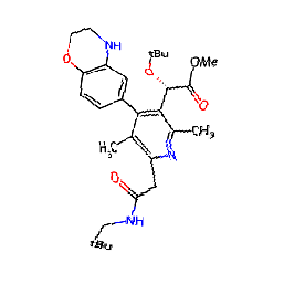 COC(=O)[C@@H](OC(C)(C)C)c1c(C)nc(CC(=O)NCC(C)(C)C)c(C)c1-c1ccc2c(c1)NCCO2